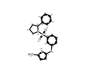 Cc1ccc(Sc2cccc(S(=O)(=O)N3CCCC3c3ccccc3)c2)s1